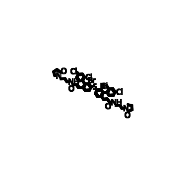 O=C(/C=C/c1ccc(Sc2ccc(/C=C/C(=O)NCCCN3CCCC3=O)c(-c3ccc(Cl)cc3Cl)c2Br)c(Br)c1-c1ccc(Cl)cc1Cl)NCCCN1CCCC1=O